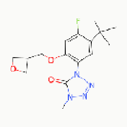 Cn1nnn(-c2cc(C(C)(C)C)c(F)cc2OCC2COC2)c1=O